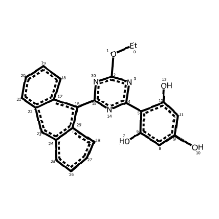 CCOc1nc(-c2c(O)cc(O)cc2O)nc(-c2c3ccccc3cc3ccccc23)n1